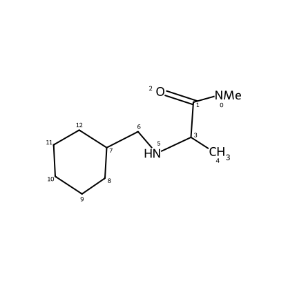 CNC(=O)C(C)NCC1CCCCC1